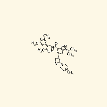 CCC/C(C=C(C)C)=C(\CNC(=O)c1cc(-c2ccnc(N3CCN(C)CC3)c2)cc2c1cnn2C(C)C)C(C)=O